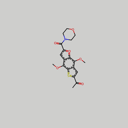 COc1c2cc(C(C)=O)sc2c(OC)c2cc(C(=O)N3CCOCC3)oc12